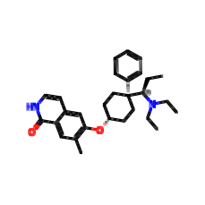 CC[C@@H](N(CC)CC)[C@]1(c2ccccc2)CC[C@@H](Oc2cc3cc[nH]c(=O)c3cc2C)CC1